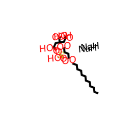 CCCCCCCCCCCCOC(=O)CC(C(=O)OC(CC(=O)O)(CC(=O)O)C(=O)O)S(=O)(=O)O.[NaH].[NaH]